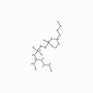 CCCCC(CC)CC(C)(C)CCC(C)(C)CC(CC)CCCC